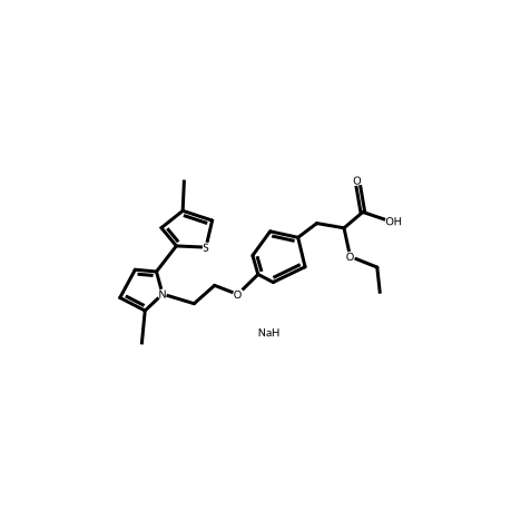 CCOC(Cc1ccc(OCCn2c(C)ccc2-c2cc(C)cs2)cc1)C(=O)O.[NaH]